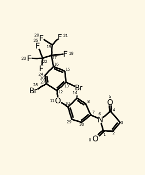 O=C1C=CC(=O)N1c1ccc(Oc2c(Br)cc(C(F)(C(F)F)C(F)(F)F)cc2Br)cc1